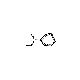 O=[PH](OF)c1ccccc1